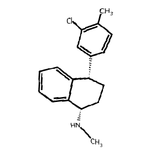 CN[C@H]1CC[C@@H](c2ccc(C)c(Cl)c2)c2ccccc21